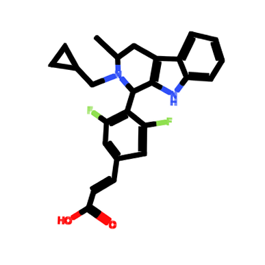 CC1Cc2c([nH]c3ccccc23)C(c2c(F)cc(/C=C/C(=O)O)cc2F)N1CC1CC1